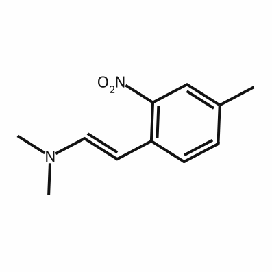 Cc1ccc(C=CN(C)C)c([N+](=O)[O-])c1